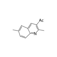 CC(=O)c1cc2cc(C)ccc2nc1C